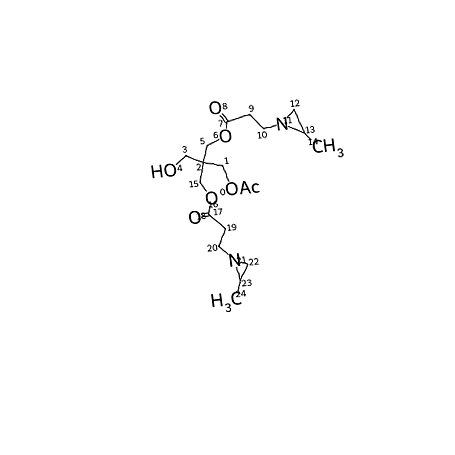 CC(=O)OCC(CO)(COC(=O)CCN1CC1C)COC(=O)CCN1CC1C